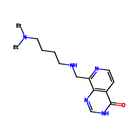 CCN(CC)CCCCNCc1nccc2c(=O)[nH]cnc12